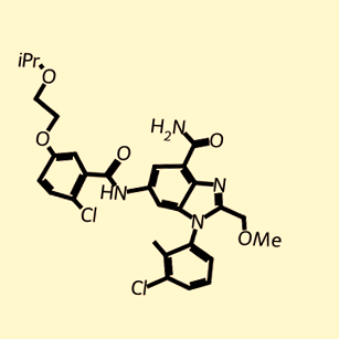 COCc1nc2c(C(N)=O)cc(NC(=O)c3cc(OCCOC(C)C)ccc3Cl)cc2n1-c1cccc(Cl)c1C